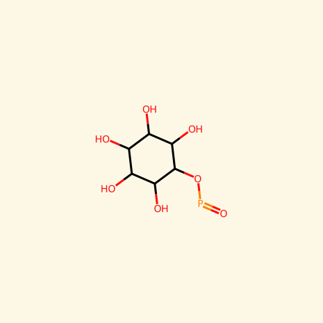 O=POC1C(O)C(O)C(O)C(O)C1O